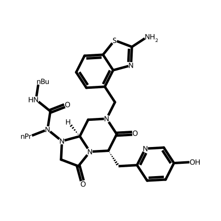 CCCCNC(=O)N(CCC)N1CC(=O)N2[C@@H](Cc3ccc(O)cn3)C(=O)N(Cc3cccc4sc(N)nc34)C[C@@H]21